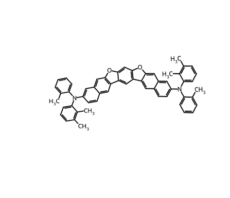 Cc1ccccc1N(c1ccc2cc3c(cc2c1)oc1cc2oc4cc5cc(N(c6ccccc6C)c6cccc(C)c6C)ccc5cc4c2cc13)c1cccc(C)c1C